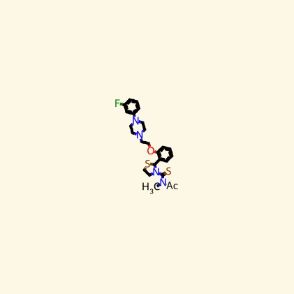 CC(=O)N(C)C(=S)N1CCSC1c1ccccc1OCCN1CCN(c2cccc(F)c2)CC1